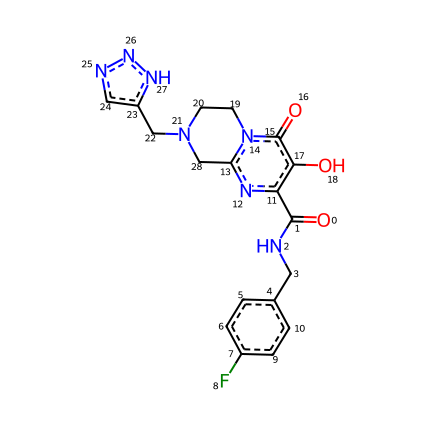 O=C(NCc1ccc(F)cc1)c1nc2n(c(=O)c1O)CCN(Cc1cnn[nH]1)C2